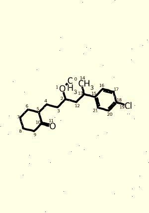 COC(CCC1CCCCC1=O)CC(C)c1ccc(Cl)cc1